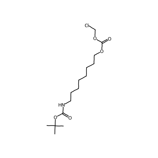 CC(C)(C)OC(=O)NCCCCCCCCOC(=O)OCCl